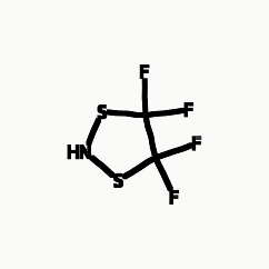 FC1(F)SNSC1(F)F